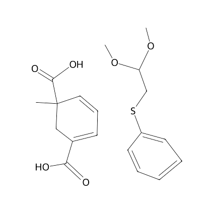 CC1(C(=O)O)C=CC=C(C(=O)O)C1.COC(CSc1ccccc1)OC